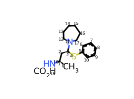 C[C@H](C[C@H](Sc1ccccc1)N1CCCCCC1)NC(=O)O